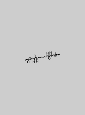 C=CC(=O)OCCNC(=O)NCCCCCCNC(=O)NCCOC(=O)C=C